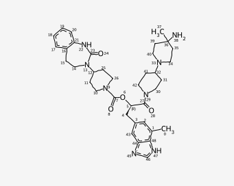 Cc1cc(C[C@@H](OC(=O)N2CCC(N3CCc4ccccc4NC3=O)CC2)C(=O)N2CCC(N3CCC(C)(N)CC3)CC2)cc2nc[nH]c12